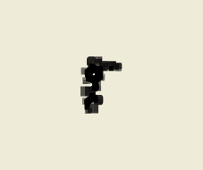 COc1cc(CNC(=O)CS)ccc1O